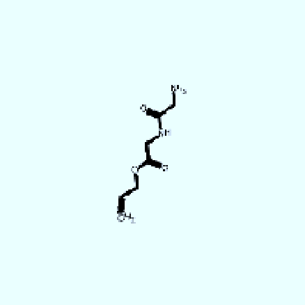 C=CCOC(=O)CNC(=O)CN